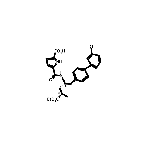 CCOC(=O)[C@H](C)C[C@@H](Cc1ccc(-c2cccc(Cl)c2)cc1)NC(=O)c1ccc(C(=O)O)[nH]1